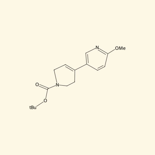 COc1ccc(C2=CCN(C(=O)OC(C)(C)C)CC2)cn1